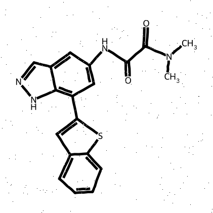 CN(C)C(=O)C(=O)Nc1cc(-c2cc3ccccc3s2)c2[nH]ncc2c1